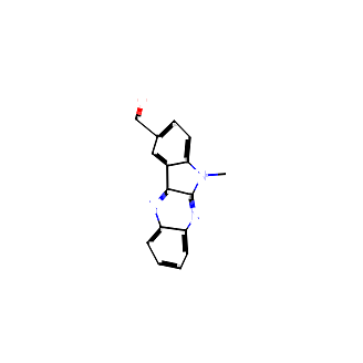 Cn1c2ccc(C=O)cc2c2nc3ccccc3nc21